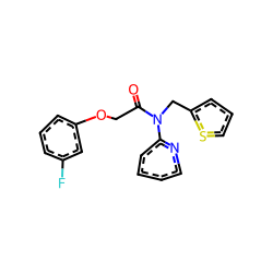 O=C(COc1cccc(F)c1)N(Cc1cccs1)c1ccccn1